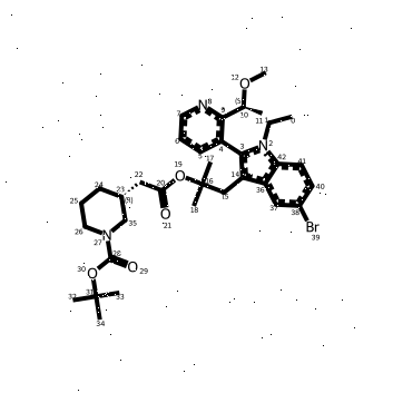 CCn1c(-c2cccnc2[C@H](C)OC)c(CC(C)(C)OC(=O)C[C@H]2CCCN(C(=O)OC(C)(C)C)C2)c2cc(Br)ccc21